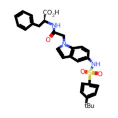 CC(C)(C)c1ccc(S(=O)(=O)Nc2ccc3c(ccn3CC(=O)N[C@@H](Cc3ccccc3)C(=O)O)c2)cc1